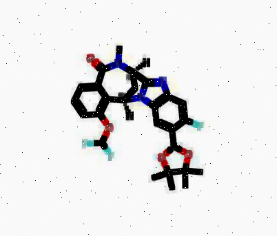 CN1C(=O)c2cccc(OC(F)F)c2[C@H]2C[C@@H]1c1nc3cc(F)c(B4OC(C)(C)C(C)(C)O4)cc3n12